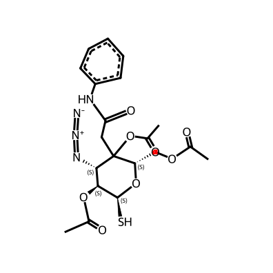 CC(=O)OC[C@@H]1O[C@@H](S)[C@@H](OC(C)=O)[C@H](N=[N+]=[N-])C1(CC(=O)Nc1ccccc1)OC(C)=O